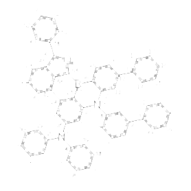 c1ccc(-c2cccc(N3c4cc(-c5ccccc5)ccc4B4c5c(cc(N(c6ccccc6)c6ccccc6)cc53)-c3cccc5c(-c6ccccc6)oc4c35)c2)cc1